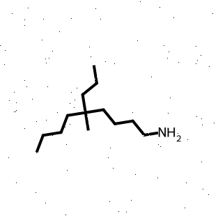 CCCCC(C)(CCC)CCCCN